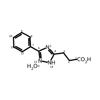 O.O=C(O)CCc1nc(-c2ccccc2)n[nH]1